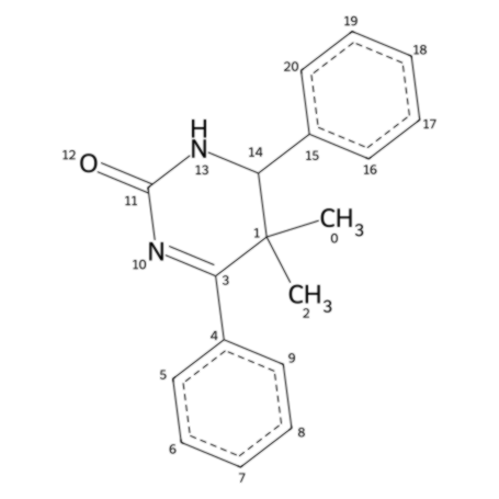 CC1(C)C(c2ccccc2)=NC(=O)NC1c1ccccc1